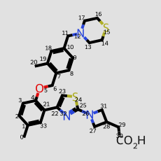 Cc1ccc(OCc2ccc(CN3CCSCC3)cc2C)c(-c2csc(N3CC(CC(=O)O)C3)n2)c1